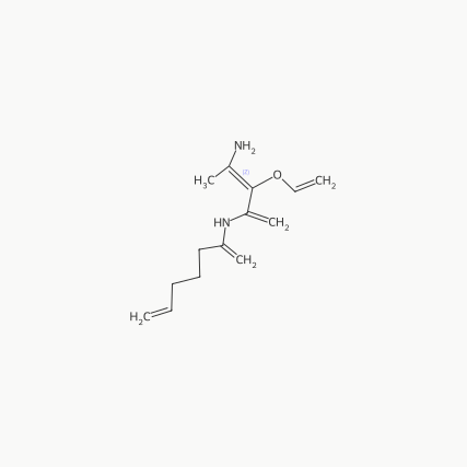 C=CCCCC(=C)NC(=C)/C(OC=C)=C(\C)N